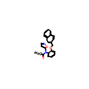 COC(=O)N(c1ccno1)c1ccccc1OCc1ccc2ccccc2c1